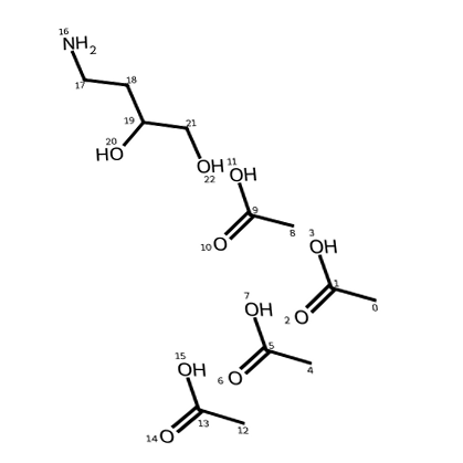 CC(=O)O.CC(=O)O.CC(=O)O.CC(=O)O.NCCC(O)CO